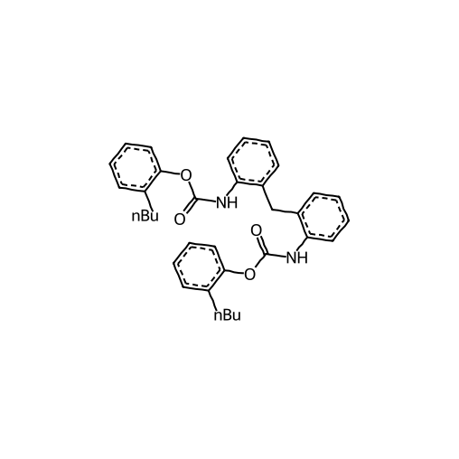 CCCCc1ccccc1OC(=O)Nc1ccccc1Cc1ccccc1NC(=O)Oc1ccccc1CCCC